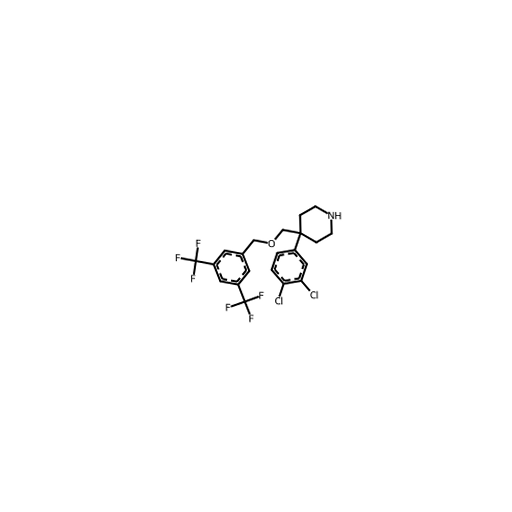 FC(F)(F)c1cc(COCC2(c3ccc(Cl)c(Cl)c3)CCNCC2)cc(C(F)(F)F)c1